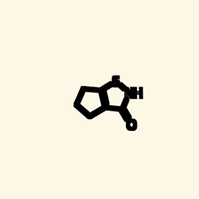 O=c1[nH]sc2c1CCC2